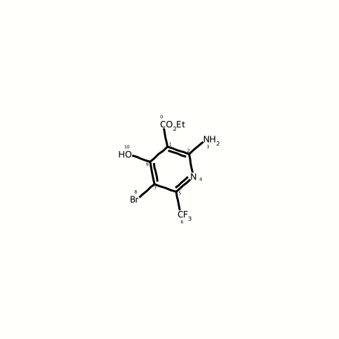 CCOC(=O)c1c(N)nc(C(F)(F)F)c(Br)c1O